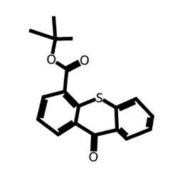 CC(C)(C)OC(=O)c1cccc2c(=O)c3ccccc3sc12